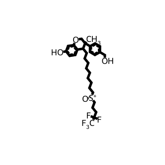 CC1(c2ccc(CO)cc2)COc2cc(O)ccc2C1CCCCCCCCC[S+]([O-])CCCC(F)(F)C(F)(F)F